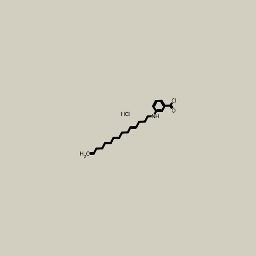 C=CCCCCCCCCC=CCCCNc1cccc(C(=O)Cl)c1.Cl